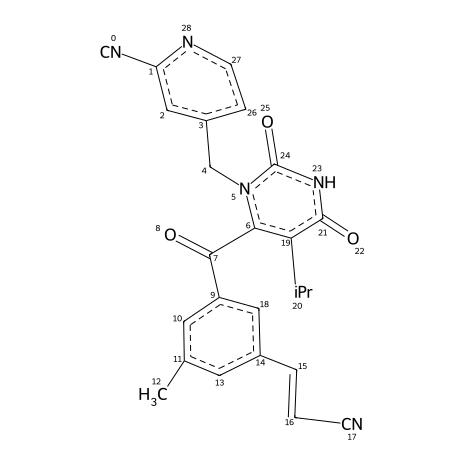 [C-]#[N+]c1cc(Cn2c(C(=O)c3cc(C)cc(/C=C/C#N)c3)c(C(C)C)c(=O)[nH]c2=O)ccn1